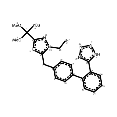 CCCCC(OC)(OC)c1nc(Cc2ccc(-c3ccccc3-c3nnn[nH]3)cc2)n(CC(C)C)n1